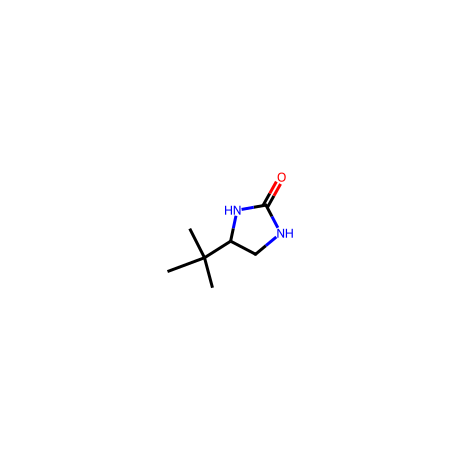 CC(C)(C)C1CNC(=O)N1